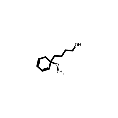 COC1(CCCCO)C=CC=CC1